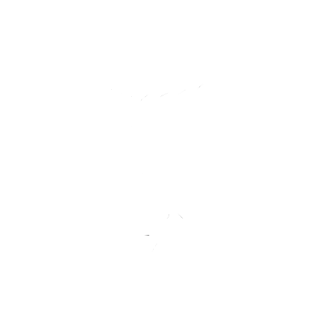 C=CC(=O)OCC(COOOOOOOCCOC(F)(/C(F)=C(F)/C(F)=C(F)/C(F)=C(F)/C(F)=C(\F)CF)C(F)(F)C(F)(F)F)OC(=O)C=C